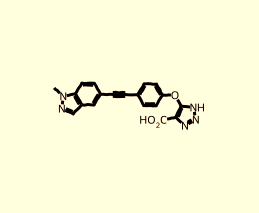 Cn1ncc2cc(C#Cc3ccc(Oc4[nH]nnc4C(=O)O)cc3)ccc21